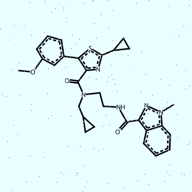 COc1cccc(-c2sc(C3CC3)nc2C(=O)N(CCNC(=O)c2nn(C)c3ccccc23)CC2CC2)c1